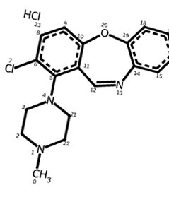 CN1CCN(c2c(Cl)ccc3c2C=Nc2ccccc2O3)CC1.Cl